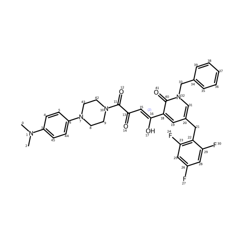 CN(C)c1ccc(N2CCN(C(=O)C(=O)/C=C(\O)c3cc(Cc4c(F)cc(F)cc4F)cn(Cc4ccccc4)c3=O)CC2)cc1